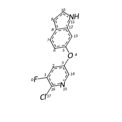 Fc1cc(Oc2ccc3[c]c[nH]c3c2)cnc1Cl